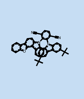 CC(C)(C)c1ccc2c(c1)c1cc(C(C)(C)C)ccc1n2-c1c(C#N)ccc(C#N)c1-n1c2ccccc2c2c3oc4ccccc4c3ccc21